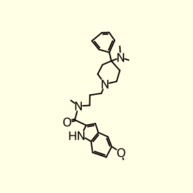 COc1ccc2[nH]c(C(=O)N(C)CCCN3CCC(c4ccccc4)(N(C)C)CC3)cc2c1